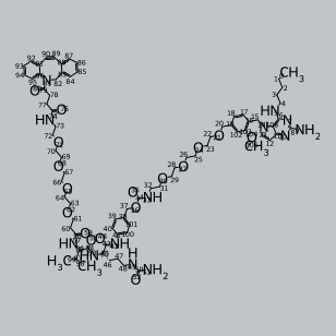 CCCCCNc1nc(N)nc2ccn(Cc3ccc(COCCOCCOCCOCCNC(=O)OCc4ccc(NC(=O)[C@H](CCCNC(N)=O)NC(=O)[C@@H](NC(=O)CCOCCOCCOCCOCCNC(=O)CCC(=O)N5Cc6ccccc6C#Cc6ccccc65)C(C)C)cc4)cc3OC)c12